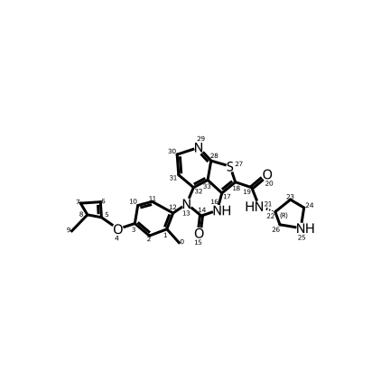 Cc1cc(OC2=CCC2C)ccc1N1C(=O)Nc2c(C(=O)N[C@@H]3CCNC3)sc3nccc1c23